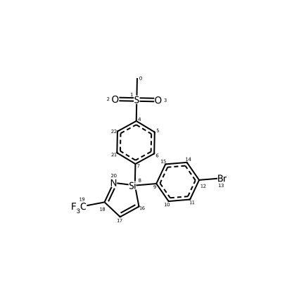 CS(=O)(=O)c1ccc([Si]2(c3ccc(Br)cc3)C=CC(C(F)(F)F)=N2)cc1